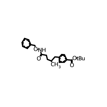 CC(CCC(=O)NOCc1ccccc1)Cc1ccc(C(=O)OC(C)(C)C)cc1